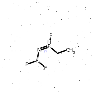 CC/[PH](F)=N\P(F)F